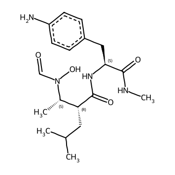 CNC(=O)[C@H](Cc1ccc(N)cc1)NC(=O)[C@H](CC(C)C)[C@H](C)N(O)C=O